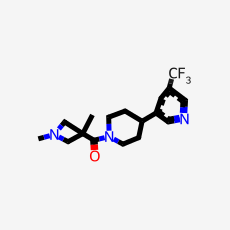 CN1CC(C)(C(=O)N2CCC(c3cncc(C(F)(F)F)c3)CC2)C1